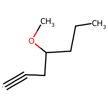 [C]#CCC(CCC)OC